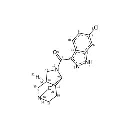 O=C(c1n[nH]c2cc(Cl)ccc12)N1C[C@@H]2C[N@@]3CCC2C1C3